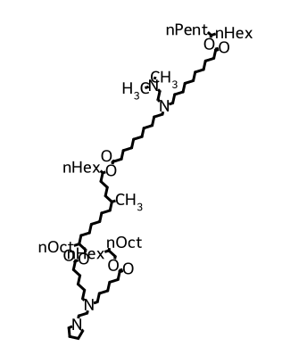 CCCCCCCCC(CCCCCC)COC(=O)CCCCCN(CCCCCC(=O)OCC(CCCCCCCC)CCCCCCC(C)CCCC(CCCCCC)OC(=O)CCCCCCCCCN(CCCCCCCCCC(=O)OC(CCCCC)CCCCCC)CCN(C)C)CCN1CCCC1